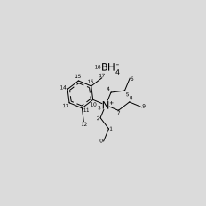 CCC[N+](CCC)(CCC)c1c(C)cccc1C.[BH4-]